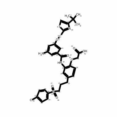 CC(C)(C)c1csc(COc2cc(N)cc(C(=O)Nc3cc(CCCS(=O)(=O)c4ccc(Cl)cc4)ccc3OCC(=O)O)c2)n1